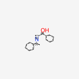 C[C@@H](c1ccccc1)[N@@]1CC1[C@H](O)c1ccccc1